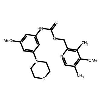 COc1cc(NC(=O)OCc2ncc(C)c(OC)c2C)cc(N2CCOCC2)c1